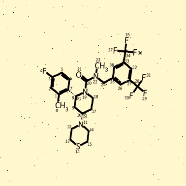 Cc1cc(F)ccc1[C@H]1C[C@@H](N2CCSCC2)CCN1C(=O)N(C)Cc1cc(C(F)(F)F)cc(C(F)(F)F)c1